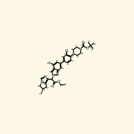 CCOC(=O)C(c1ncn2c1C[C@@H](F)C2)n1cc2c(F)cc(-c3ccc(N4CCN(C(=O)OC(C)(C)C)CC4)c(Cl)c3)cc2n1